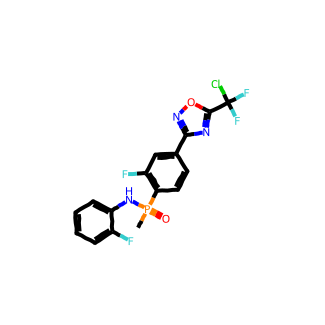 CP(=O)(Nc1ccccc1F)c1ccc(-c2noc(C(F)(F)Cl)n2)cc1F